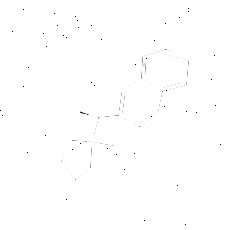 C[C@@H](c1ccc2ccccc2c1)[N+]1(C)CCC[C@@H]1C(=O)O